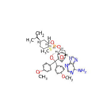 C=C(C)[C@@H]1CC[C@]2(C)S[P@](O[C@H]3C[C@H](n4cnc5c(N)ncnc54)O[C@@H]3COC(c3ccccc3)(c3ccc(OC)cc3)c3ccc(OC)cc3)O[C@H]2C1